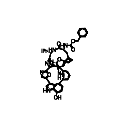 CC(C)[C@@H]1NC(=O)[C@@H](NC(=O)OCc2ccccc2)Cc2ccc3c(c2)C24c5cccc(c5N[C@H]2O3)-c2ccc(O)c3[nH]cc(c23)-c2cnc(o2)-c2nc1oc24